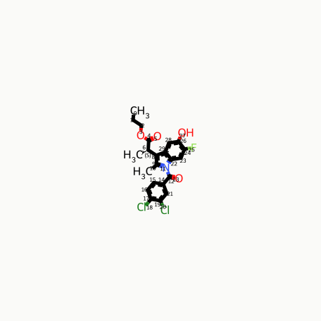 CCCOC(=O)[C@@H](C)c1c(C)n(C(=O)c2ccc(Cl)c(Cl)c2)c2cc(F)c(O)cc12